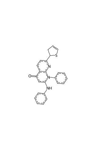 O=c1cc(Nc2ccccc2)n(-c2ccccc2)c2nc(C3CC=CS3)ccc12